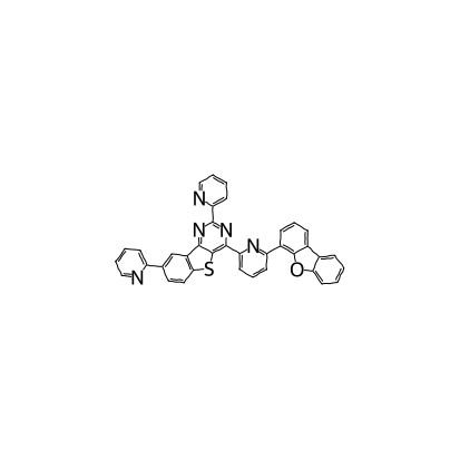 c1ccc(-c2ccc3sc4c(-c5cccc(-c6cccc7c6oc6ccccc67)n5)nc(-c5ccccn5)nc4c3c2)nc1